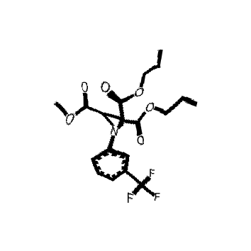 CCCOC(=O)C1(C(=O)OCCC)C(C(=O)OC)N1c1cccc(C(F)(F)F)c1